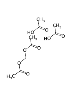 CC(=O)O.CC(=O)O.CC(=O)OCOC(C)=O